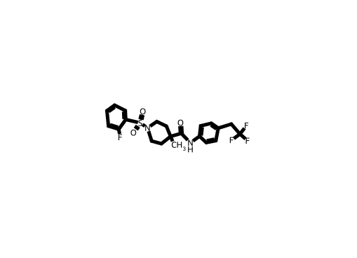 CC1(C(=O)Nc2ccc(CC(F)(F)F)cc2)CCN(S(=O)(=O)c2ccccc2F)CC1